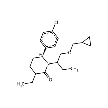 CCC1CC[C@@H](c2ccc(Cl)cc2)N(C(CC)COCC2CC2)C1=O